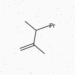 [CH2]C(C)C(C)C(=C)C